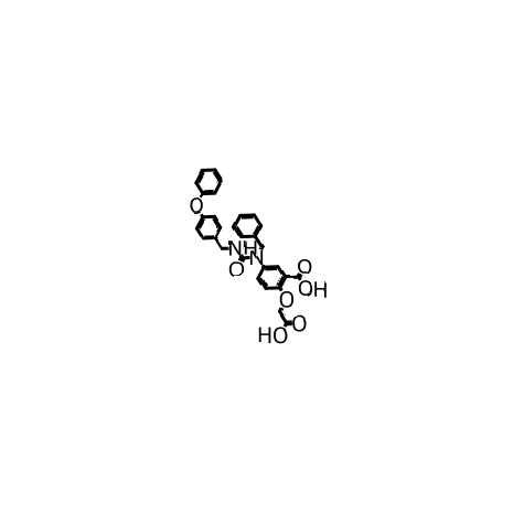 O=C(O)COc1ccc(N(Cc2ccccc2)C(=O)NCc2ccc(Oc3ccccc3)cc2)cc1C(=O)O